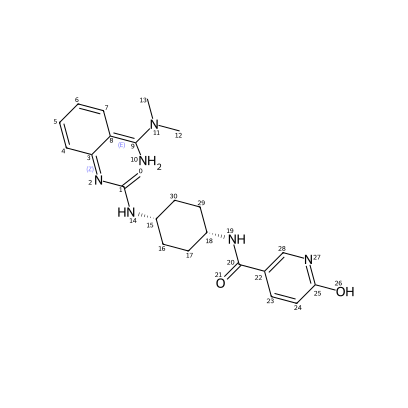 C=C(/N=C1/C=CC=C/C1=C(/N)N(C)C)N[C@H]1CC[C@@H](NC(=O)c2ccc(O)nc2)CC1